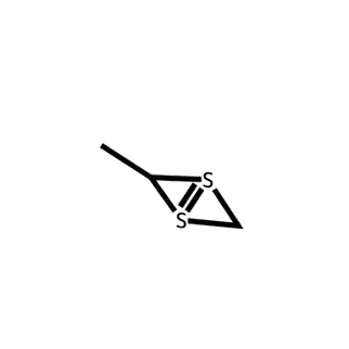 CC1S2=S1C2